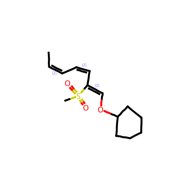 C\C=C/C=C\C(=C\OC1CCCCC1)S(C)(=O)=O